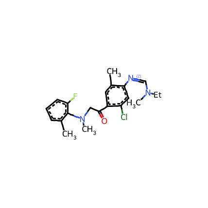 CCN(C)/C=N\c1cc(Cl)c(C(=O)CN(C)c2c(C)cccc2F)cc1C